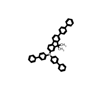 CC1(C)c2cc(-c3ccc(-c4ccccc4)cc3)ccc2-c2ccc(N(c3ccc(-c4ccccc4)cc3)c3ccc(-c4ccccc4)cc3)cc21